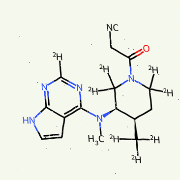 [2H]c1nc(N(C)[C@@H]2[C@H](C([2H])([2H])[2H])CC([2H])([2H])N(C(=O)C[N+]#[C-])C2([2H])[2H])c2cc[nH]c2n1